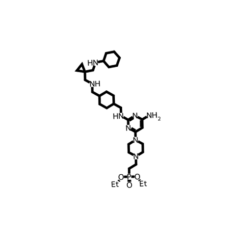 CCOP(=O)(CCN1CCN(c2cc(N)nc(NCC3CCC(CNCC4(CNC5CCCCC5)CC4)CC3)n2)CC1)OCC